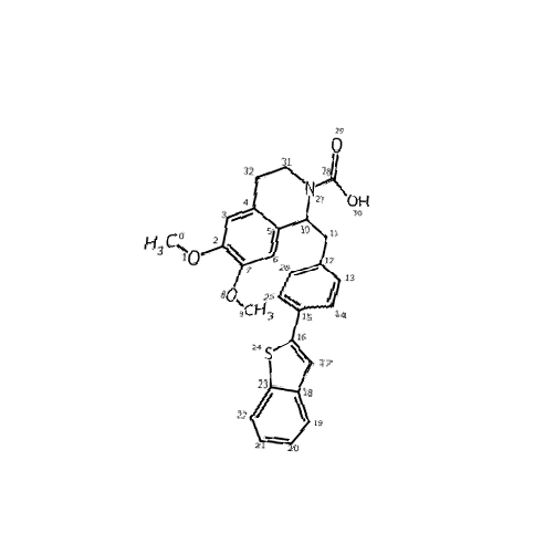 COc1cc2c(cc1OC)C(Cc1ccc(-c3cc4ccccc4s3)cc1)N(C(=O)O)CC2